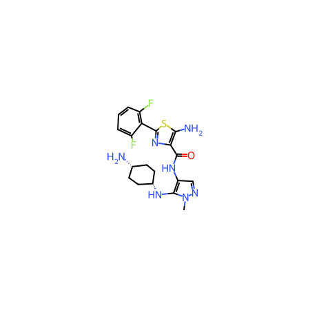 Cn1ncc(NC(=O)c2nc(-c3c(F)cccc3F)sc2N)c1N[C@H]1CC[C@@H](N)CC1